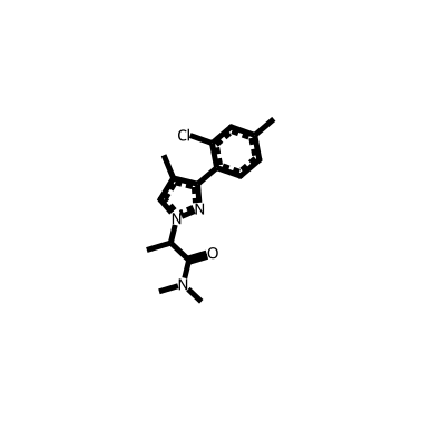 Cc1ccc(-c2nn(C(C)C(=O)N(C)C)cc2C)c(Cl)c1